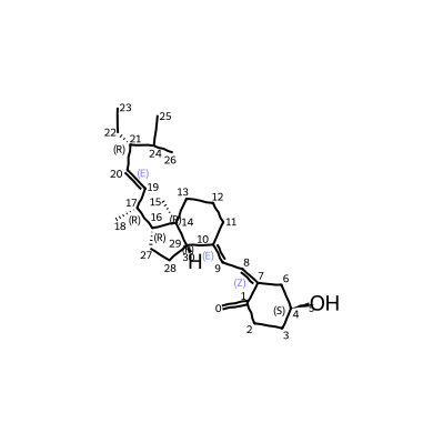 C=C1CC[C@H](O)C/C1=C/C=C1\CCC[C@]2(C)[C@@H]([C@H](C)/C=C/[C@H](CC)C(C)C)CC[C@@H]12